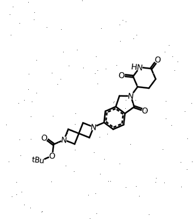 CC(C)(C)OC(=O)N1CC2(C1)CN(c1ccc3c(c1)CN(C1CCC(=O)NC1=O)C3=O)C2